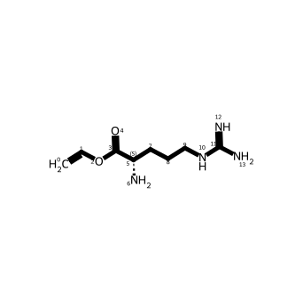 C=COC(=O)[C@@H](N)CCCNC(=N)N